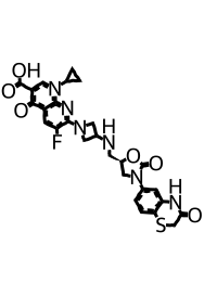 O=C1CSc2ccc(N3C[C@@H](CNC4CN(c5nc6c(cc5F)c(=O)c(C(=O)O)cn6C5CC5)C4)OC3=O)cc2N1